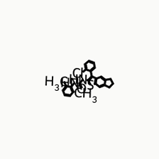 Cc1cccc(C)c1NC(=O)Nc1sc2cc3c(cc2c1-c1ccccc1Cl)CCC3